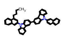 CCCCc1cc(-n2c3ccccc3c3cc(-c4ccc5c(c4)c4ccccc4n5-c4ccc5ccccc5c4)ccc32)cc2ccccc12